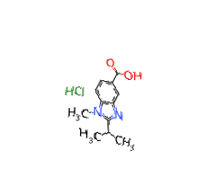 CC(C)c1nc2cc(C(=O)O)ccc2n1C.Cl